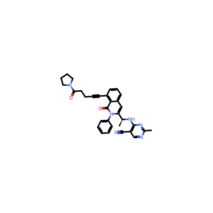 Cc1ncc(C#N)c(N[C@@H](C)c2cc3cccc(C#CCCC(=O)N4CCCC4)c3c(=O)n2-c2ccccc2)n1